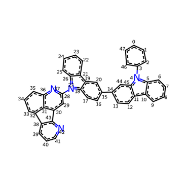 c1ccc(-n2c3ccccc3c3ccc(-c4ccc5c(c4)c4ccccc4n5-c4cc5c6c(cccc6n4)-c4cccnc4-5)cc32)cc1